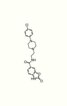 O=C(NCCN1CCN(c2ccc(Cl)cc2)CC1)c1ccc2[nH]c(=O)oc2c1